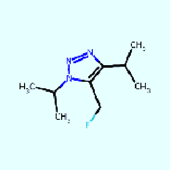 CC(C)c1nnn(C(C)C)c1CF